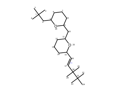 CC(C)(C)CC1CCCC(CC2CCCC(/C=C/C(C)(C)C(C)(C)C)O2)O1